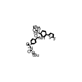 CC(C)(C)OC(=O)N=[S@](C)(=O)c1ccc(C(=O)Nc2cc(-c3ccc(F)s3)ccc2NC(=O)OC(C)(C)C)cc1